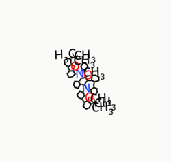 Cc1ccccc1N(c1cccc2c1oc1c(C(C)(C)C)cccc12)c1c2ccccc2c2c3c1oc1cccc(c4ccccc4n2-c2cccc4c2oc2c(C(C)(C)C)cccc24)c13